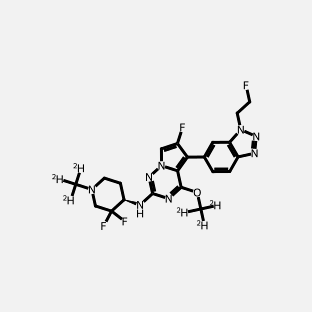 [2H]C([2H])([2H])Oc1nc(N[C@@H]2CCN(C([2H])([2H])[2H])CC2(F)F)nn2cc(F)c(-c3ccc4nnn(CCF)c4c3)c12